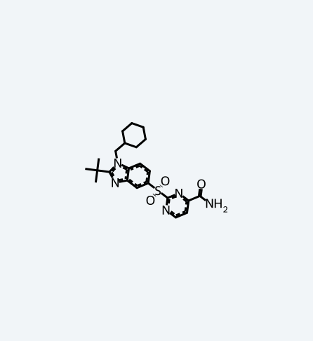 CC(C)(C)c1nc2cc(S(=O)(=O)c3nccc(C(N)=O)n3)ccc2n1CC1CCCCC1